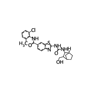 Cc1cccc(Cl)c1NC(=O)c1ccc2nc(NC(=O)NC3C(CO)C4CC[C@@H]3C4)sc2c1